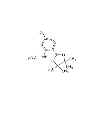 CC1(C)OB(c2ccc(Cl)cc2NC(=O)O)OC1(C)C